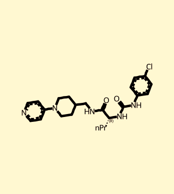 CCC[C@@H](NC(=O)Nc1ccc(Cl)cc1)C(=O)NCC1CCN(c2ccncc2)CC1